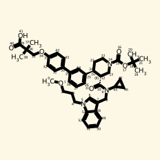 COCCCn1cc(CN(C(=O)[C@H]2CN(C(=O)OC(C)(C)C)CC[C@@H]2c2cccc(-c3ccc(OCC(C)(C)C(=O)O)cc3)c2)C2CC2)c2ccccc21